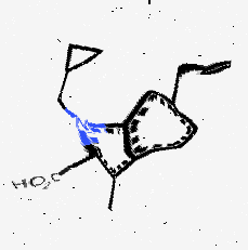 C=Cc1ccc2c(C)c(C(=O)O)n(CC3CC3)c2c1